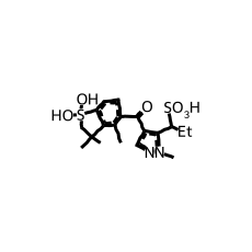 CCC(c1c(C(=O)c2ccc3c(c2C)C(C)(C)CS3(O)O)cnn1C)S(=O)(=O)O